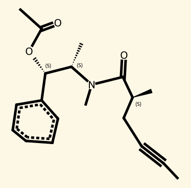 CC#CC[C@H](C)C(=O)N(C)[C@@H](C)[C@@H](OC(C)=O)c1ccccc1